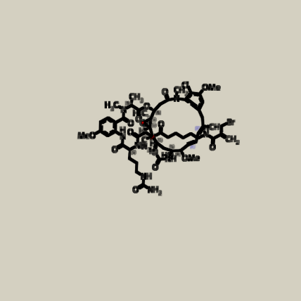 C=C(CBr)C(=O)NCCCCCC(=O)N[C@H](C(=O)N[C@@H](CCCNC(N)=O)C(=O)Nc1cc(OC)ccc1C(=O)N(C)[C@@H](C)C(=O)O[C@H]1CC(=O)N(C)c2cc(cc(OC)c2Cl)C/C(C)=C/C=C/[C@@H](OC)[C@@]2(O)C[C@H](OC(=O)N2)[C@@H](C)[C@@H]2O[C@@]12C)C(C)C